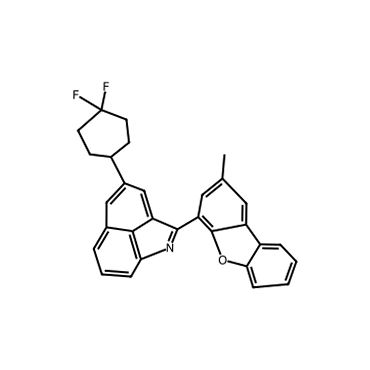 Cc1cc(C2=Nc3cccc4cc(C5CCC(F)(F)CC5)cc2c34)c2oc3ccccc3c2c1